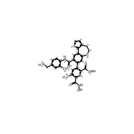 CCCNC(=O)c1nc(C(=O)OC)c(-c2cc3c(cc2C(=O)Nc2ccc(CN)cc2C)-c2sccc2CCO3)cc1C